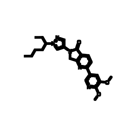 CCCCC(CC)n1cc(N2Cc3nc(-c4cnc(OC)c(OC)c4)ccc3C2=O)cn1